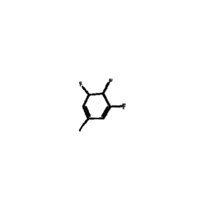 CC1=CC(F)C(F)C(F)=C1